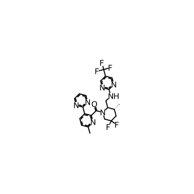 Cc1ccc(-c2ncccn2)c(C(=O)N2CC(F)(F)C[C@@H](C)C2CNc2ncc(C(F)(F)F)cn2)n1